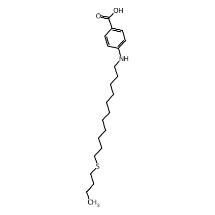 CCCCSCCCCCCCCCCCNc1ccc(C(=O)O)cc1